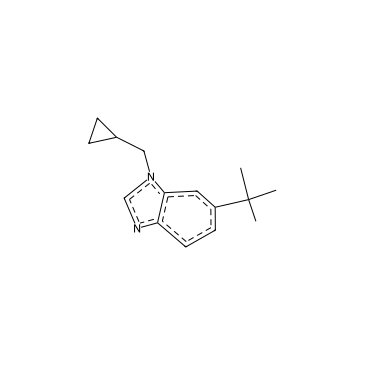 CC(C)(C)c1ccc2ncn(CC3CC3)c2c1